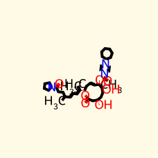 C/C(=C\C=C\C(C)CCC(=O)N1CCCC1)[C@H]1OC(=O)C[C@@H](O)CC[C@](C)(O)[C@@H](OC(=O)N2CCN(C3CCCCCC3)CC2)/C=C/[C@@H]1C